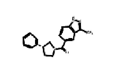 Nc1n[nH]c2ccc(C(=O)N3CC[C@H](c4ccccc4)C3)cc12